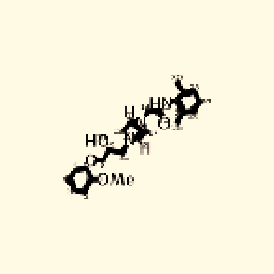 COc1ccccc1OC[C@@H](O)CN1C[C@@H]2C[C@H]1CN2CC(=O)Nc1c(C)cccc1C